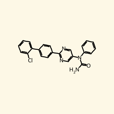 NC(=O)N(c1ccccc1)c1cnc(-c2ccc(-c3ccccc3Cl)cc2)nc1